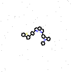 c1ccc(-n2c3ccccc3c3cc(-c4ccc5ccc6ccc(-c7ccc(-c8cccc9c8sc8ccccc89)cc7)nc6c5n4)ccc32)cc1